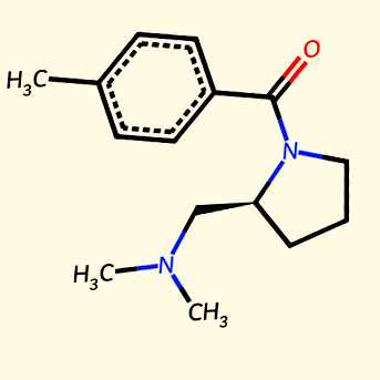 Cc1ccc(C(=O)N2CCC[C@H]2CN(C)C)cc1